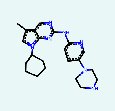 Cc1cn(C2CCCCC2)c2nc(Nc3ccc(N4CCNCC4)cn3)ncc12